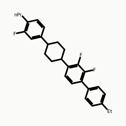 CCCc1ccc(C2CCC(c3ccc(-c4ccc(CC)cc4)c(F)c3F)CC2)cc1F